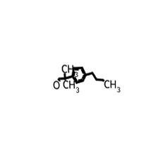 CCCCc1ccc(C(C)(C)C=O)cc1